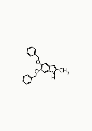 Cc1cc2cc(OCc3ccccc3)c(OCc3ccccc3)cc2[nH]1